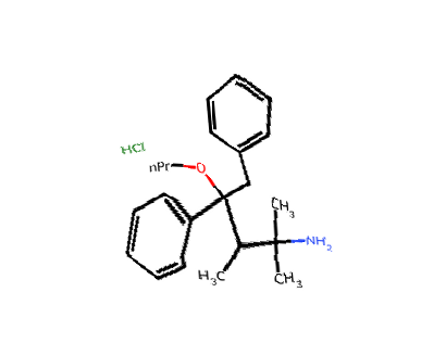 CCCOC(Cc1ccccc1)(c1ccccc1)C(C)C(C)(C)N.Cl